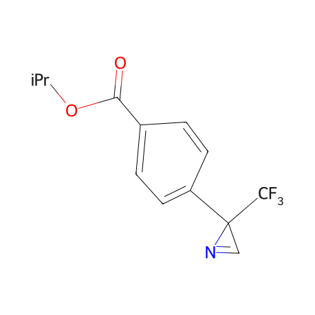 CC(C)OC(=O)c1ccc(C2(C(F)(F)F)C=N2)cc1